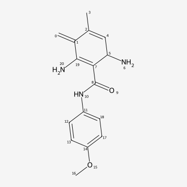 C=C1C(C)=CC(N)C(C(=O)Nc2ccc(OC)cc2)=C1N